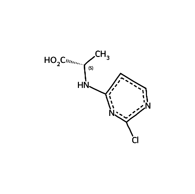 C[C@H](Nc1ccnc(Cl)n1)C(=O)O